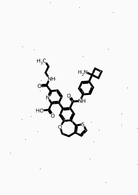 CCCNC(=O)c1ccc(-c2cc3c(cc2C(=O)Nc2ccc(C4(N)CCC4)cc2)-c2sccc2CCO3)c(C(=O)O)n1